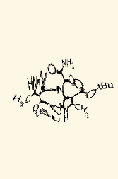 Cc1[nH]nc(N(C(=O)C(N)=O)c2n[nH]c(C)c2C(=O)OC(C)(C)C)c1C(=O)OC(C)(C)C